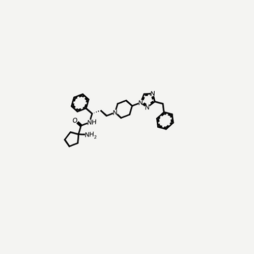 NC1(C(=O)N[C@@H](CCN2CCC(n3cnc(Cc4ccccc4)n3)CC2)c2ccccc2)CCCC1